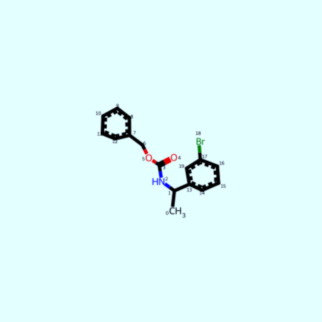 CC(NC(=O)OCc1ccccc1)c1cccc(Br)c1